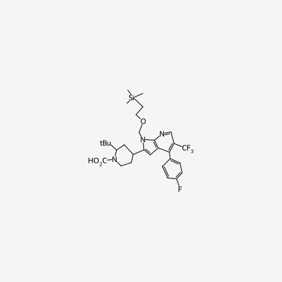 CC(C)(C)C1CC(c2cc3c(-c4ccc(F)cc4)c(C(F)(F)F)cnc3n2COCC[Si](C)(C)C)CCN1C(=O)O